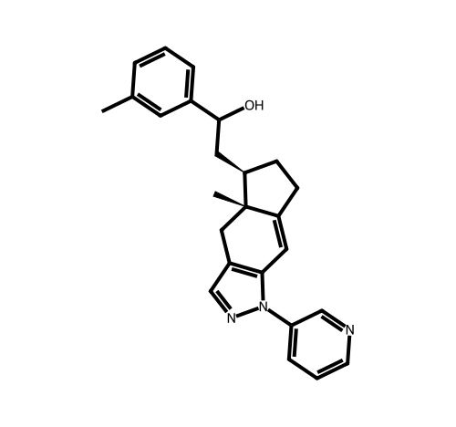 Cc1cccc(C(O)C[C@H]2CCC3=Cc4c(cnn4-c4cccnc4)C[C@@]32C)c1